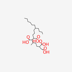 CCCCCCC(CCCC)CCCC(C(=O)O)C(C(=O)O)C(C)CCC(CC(=O)O)C(=O)O